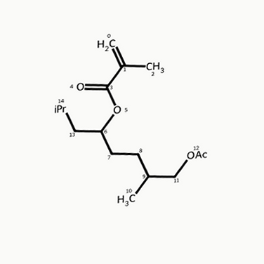 C=C(C)C(=O)OC(CCC(C)COC(C)=O)CC(C)C